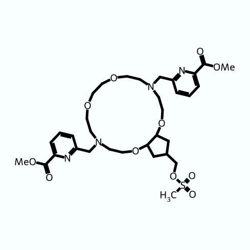 COC(=O)c1cccc(CN2CCOCCOCCN(Cc3cccc(C(=O)OC)n3)CCOC3CC(COS(C)(=O)=O)CC3OCC2)n1